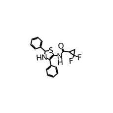 O=C(NC1=C(c2ccccc2)NC(c2ccccc2)S1)C1CC1(F)F